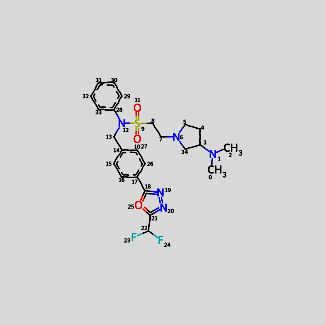 CN(C)C1CCN(CCS(=O)(=O)N(Cc2ccc(-c3nnc(C(F)F)o3)cc2)c2ccccc2)C1